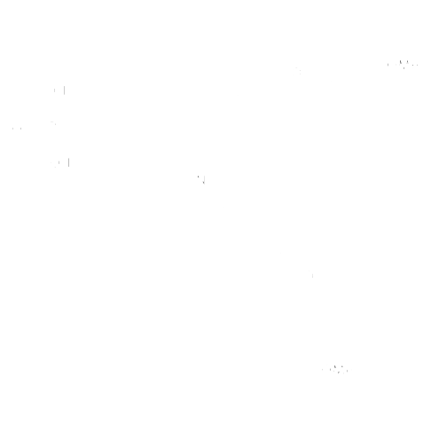 COCCOc1ccc2c(c1)c1cc(OCCOC)ccc1n2CCCCP(=O)(O)O